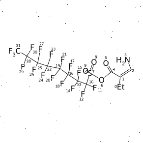 CCC(=CN)C(=O)OS(=O)(=O)C(F)(F)C(F)(F)C(F)(F)C(F)(F)C(F)(F)C(F)(F)C(F)(F)C(F)(F)F